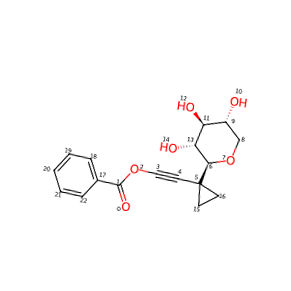 O=C(OC#CC1([C@@H]2OC[C@@H](O)[C@H](O)[C@H]2O)CC1)c1ccccc1